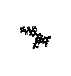 Cc1cc(C2=NOC(c3cc(Cl)cc(Cl)c3)(C(F)(F)F)C2=NOCC(F)F)ccc1C(=O)NC1CSC1